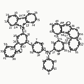 c1ccc(N(c2ccc(-c3cc(-n4c5ccccc5c5ccccc54)cc4c3oc3ccccc34)cc2)c2cccc(-c3cccc4oc5ccc6ccccc6c5c34)c2)cc1